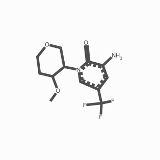 COC1CCOCC1n1cc(C(F)(F)F)cc(N)c1=O